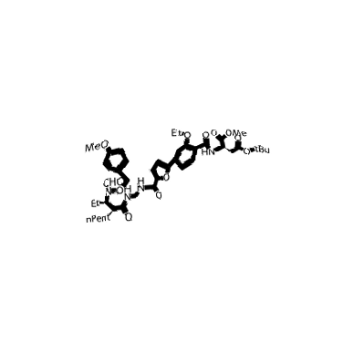 CCCCC[C@@H](C(=O)NCNC(=O)c1ccc(-c2ccc(C(=O)N[C@@H](CC(=O)OC(C)(C)C)C(=O)OC)c(OCC)c2)o1)[C@@H](CC)N(C=O)OCc1ccc(OC)cc1